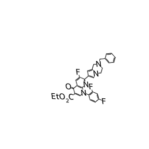 CCOC(=O)c1cn(-c2ccc(F)cc2F)c2nc(-c3cc4n(c3)CCN(Cc3ccccc3)C4)c(F)cc2c1=O